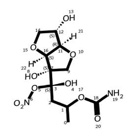 CC(C[C@](O)(O[N+](=O)[O-])[C@]1(O)CO[C@@H]2[C@@H](O)CO[C@@H]21)OC(N)=O